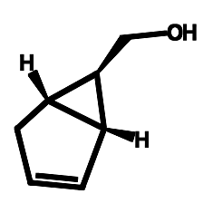 OC[C@H]1[C@@H]2C=CC[C@@H]21